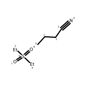 CCCC#N.CCS(=O)(=O)CC